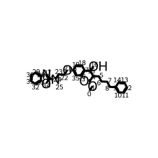 COC(=O)C(CCCCc1ccccc1)C(O)c1ccc(OCCN(C)c2nc3ccccc3o2)cc1